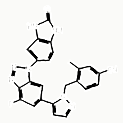 Cc1cc(C#N)ccc1Cn1nccc1-c1cc(F)c2nnn(-c3ccc4[nH]c(=O)[nH]c4c3)c2c1